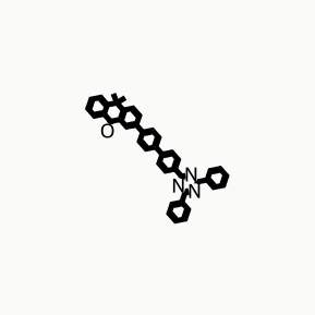 CC1(C)c2ccccc2C(=O)c2cc(-c3ccc(-c4ccc(-c5nc(-c6ccccc6)nc(-c6ccccc6)n5)cc4)cc3)ccc21